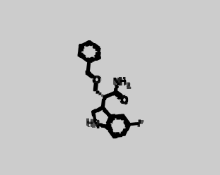 NC(=O)[C@@H](COCc1ccccc1)C1CNc2ccc(F)cc21